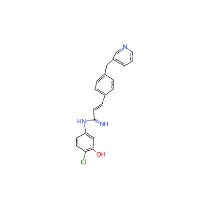 N=C(/C=C/c1ccc(Cc2cccnc2)cc1)Nc1ccc(Cl)c(O)c1